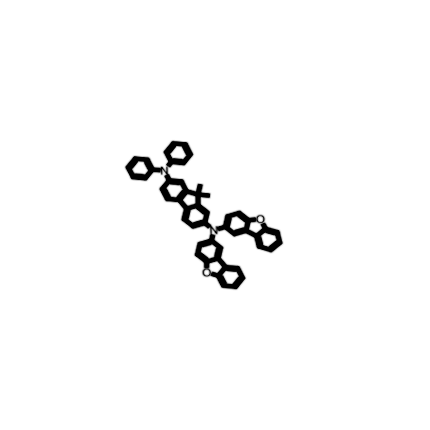 CC1(C)c2cc(N(c3ccccc3)c3ccccc3)ccc2-c2ccc(N(c3ccc4oc5ccccc5c4c3)c3ccc4oc5ccccc5c4c3)cc21